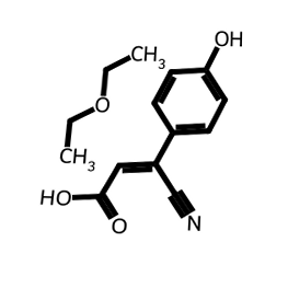 CCOCC.N#CC(=CC(=O)O)c1ccc(O)cc1